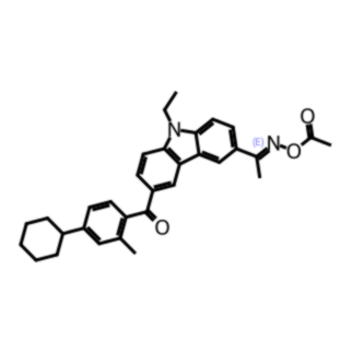 CCn1c2ccc(C(=O)c3ccc(C4CCCCC4)cc3C)cc2c2cc(/C(C)=N/OC(C)=O)ccc21